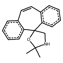 CC1(C)NCC2(O1)c1ccccc1C=Cc1ccccc12